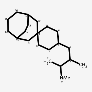 CNC(C)C(C)CC1CCC2(CC1)CC1CCCC(CC1)C2